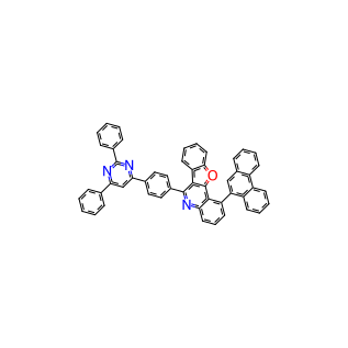 c1ccc(-c2cc(-c3ccc(-c4nc5cccc(-c6cc7ccccc7c7ccccc67)c5c5oc6ccccc6c45)cc3)nc(-c3ccccc3)n2)cc1